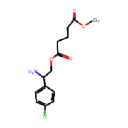 CC(C)(C)OC(=O)CCCC(=O)OCC(N)c1ccc(Cl)cc1